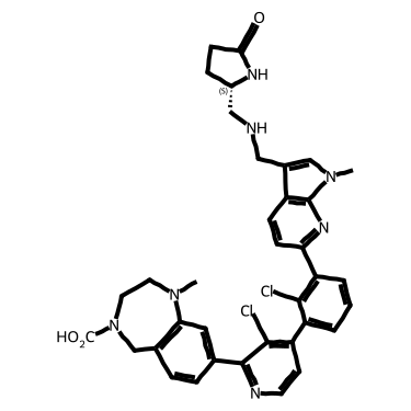 CN1CCN(C(=O)O)Cc2ccc(-c3nccc(-c4cccc(-c5ccc6c(CNC[C@@H]7CCC(=O)N7)cn(C)c6n5)c4Cl)c3Cl)cc21